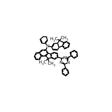 CC1(C)c2cc(C3N=C(c4ccccc4)N=C(c4ccccc4)N3)ccc2-c2c(N(C3=CCCC=C3)C3=CC4C(C=C3)c3ccccc3C4(C)C)cc3ccccc3c21